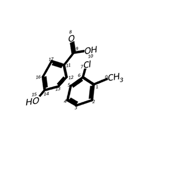 Cc1ccccc1Cl.O=C(O)c1ccc(O)cc1